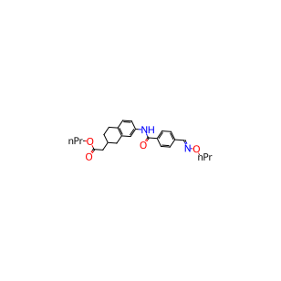 CCCON=Cc1ccc(C(=O)Nc2ccc3c(c2)CC(CC(=O)OCCC)CC3)cc1